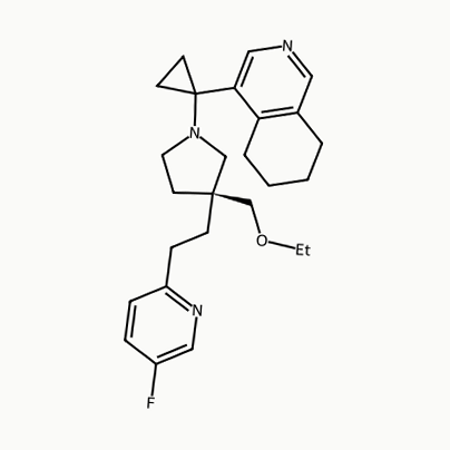 CCOC[C@@]1(CCc2ccc(F)cn2)CCN(C2(c3cncc4c3CCCC4)CC2)C1